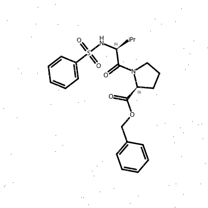 CC(C)[C@H](NS(=O)(=O)c1ccccc1)C(=O)N1CCC[C@H]1C(=O)OCc1ccccc1